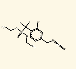 CCOP(=O)(OCC)C(F)(F)c1ccc(CN=[N+]=[N-])cc1Br